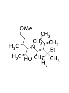 C=CC(=C)/C(=C(/C)N(C)C(C(=C)O)C(C)CCOC)C(C)(C)CC